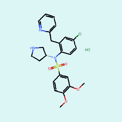 COc1ccc(S(=O)(=O)N(c2ccc(Cl)cc2Cc2ccccn2)[C@@H]2CCNC2)cc1OC.Cl